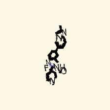 Cc1cn2cc(-c3ccc(/N=C(\NC=O)C4(F)CCN(C)CC4)c(C)c3)ccc2n1